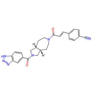 N#Cc1ccc(C=CC(=O)N2CC[C@@H]3CN(C(=O)c4ccc5[nH]nnc5c4)C[C@@H]3CC2)cc1